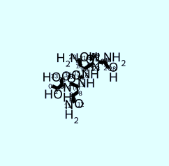 CC(O)[C@H](NC(=O)[C@H](CCC(N)=O)NC(=O)N[C@@H](CC(N)O)c1nc([C@@H](N)CO)no1)C(=O)O